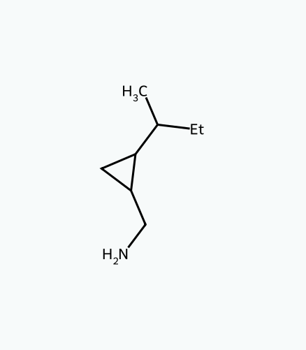 CCC(C)C1CC1CN